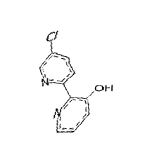 Oc1cccnc1-c1ccc(Cl)cn1